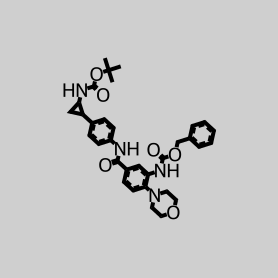 CC(C)(C)OC(=O)NC1CC1c1ccc(NC(=O)c2ccc(N3CCOCC3)c(NC(=O)OCc3ccccc3)c2)cc1